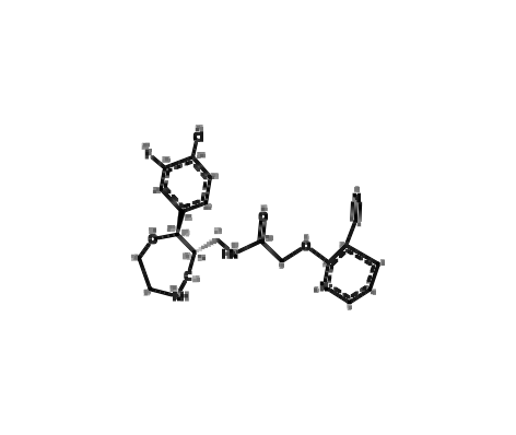 N#Cc1cccnc1OCC(=O)NC[C@@H]1CNCCO[C@H]1c1ccc(Cl)c(F)c1